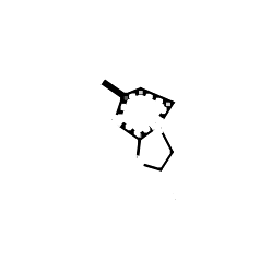 [CH2][C@H]1Cn2ccc(=O)nc2O1